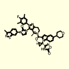 Cc1cc(-n2nc3c(c2-n2ccn(-c4ccc5c(C)nsc5c4)c2=O)[C@H](C)N(C(=O)c2cc4cc(C5CCOCC5)ccc4n2[C@@]2(c4noc(=O)[nH]4)C[C@@H]2C)CC3)cc(C)c1F